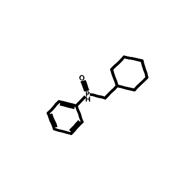 O=[PH](CC1CCCCC1)c1ccccc1